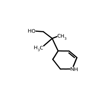 CC(C)(CO)C1C=CNCC1